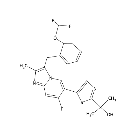 Cc1nc2cc(F)c(-c3cnc(C(C)(C)O)s3)cn2c1Cc1ccccc1OC(F)F